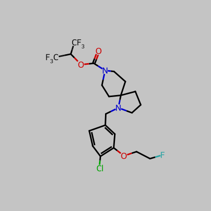 O=C(OC(C(F)(F)F)C(F)(F)F)N1CCC2(CCCN2Cc2ccc(Cl)c(OCCF)c2)CC1